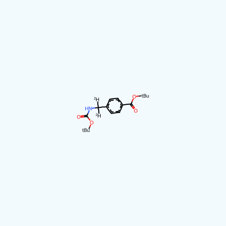 [2H]C([2H])(NC(=O)OC(C)(C)C)c1ccc(C(=O)OC(C)(C)C)cc1